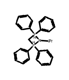 CC(C)N1[PH](c2ccccc2)(c2ccccc2)C[PH]1(c1ccccc1)c1ccccc1